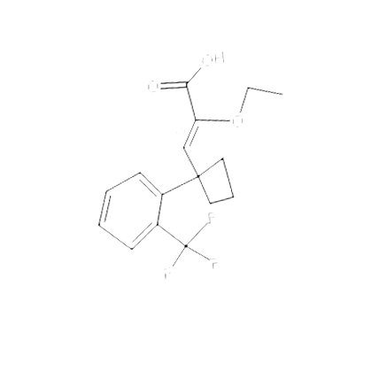 CCO/C(=C\C1(c2ccccc2C(F)(F)F)CCC1)C(=O)O